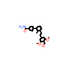 COc1cc(/C=C/c2cccc(-c3ccc(C(N)=O)cc3)c2C)cc(OC)c1C=O